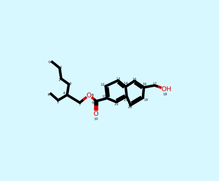 CCCCC(CC)COC(=O)c1ccc2cc(CO)ccc2c1